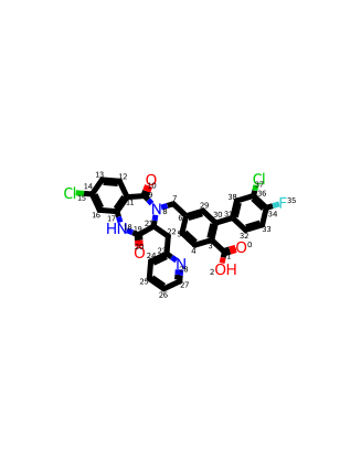 O=C(O)c1ccc(CN2C(=O)c3ccc(Cl)cc3NC(=O)C2Cc2ccccn2)cc1-c1ccc(F)c(Cl)c1